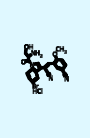 COc1ccc(C#N)cc1C=C(C#N)c1cn(C(=O)C(N)CO)c2ccc(Br)cc12.Cl